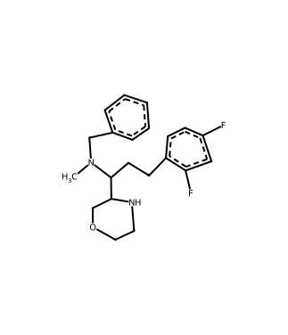 CN(Cc1ccccc1)C(CCc1ccc(F)cc1F)C1COCCN1